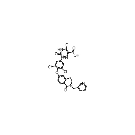 O=C(O)c1nn(-c2cc(Cl)c(Oc3ccc4c(c3)CCN(Cc3cccnc3)C4=O)c(Cl)c2)c(=O)[nH]c1=O